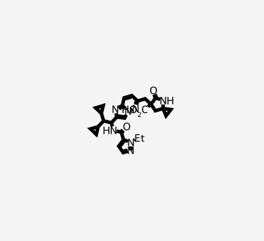 CCn1nccc1C(=O)NC(c1cn2nc(CC3(C(=O)O)CC4(CC4)NC3=O)ccc2n1)C(C1CC1)C1CC1